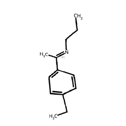 CCC/N=C(\C)c1ccc(CC)cc1